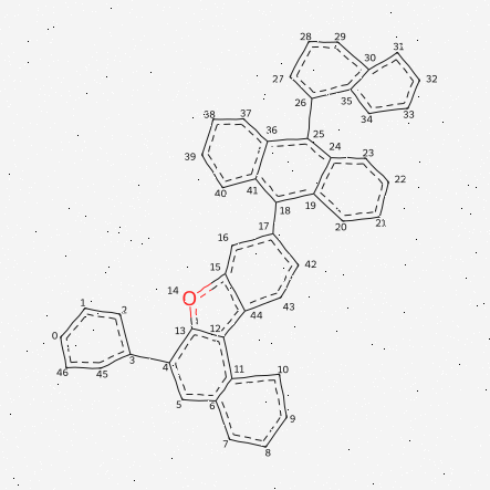 c1ccc(-c2cc3ccccc3c3c2oc2cc(-c4c5ccccc5c(-c5cccc6ccccc56)c5ccccc45)ccc23)cc1